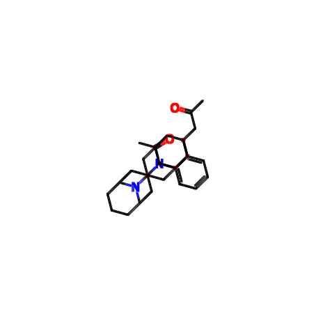 CC(=O)CCc1ccccc1N(C(C)=O)C1CC2CCCC(C1)N2C1CC2CCCC(C2)C1